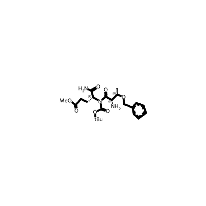 COC(=O)CC[C@H](C(N)=O)N(C(=O)OC(C)(C)C)C(=O)[C@@H](N)[C@@H](C)OCc1ccccc1